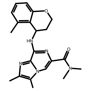 Cc1cccc2c1C(Nc1nc(C(=O)N(C)C)cn3c(C)c(C)nc13)CCO2